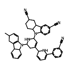 CC1C=CC2=C(C1)C1C=CC=CC1N2C1CC(C2C=CC=C(c3cccc(C#N)c3)N2)=CC(N2c3ccc(C#N)cc3C3CC(C#N)CCC32)N1